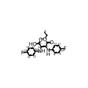 CCOC(=O)C(Nc1ccc(F)cc1)=C(Nc1ccc(F)cc1)C(=O)O